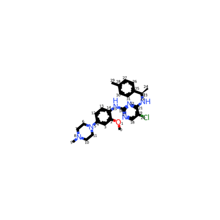 COc1cc(N2CCN(C)CC2)ccc1Nc1ncc(Cl)c(N[C@H](C)c2ccc(C)cc2)n1